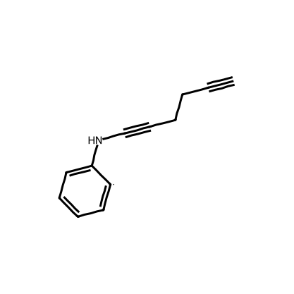 C#CCCC#CNc1[c]cccc1